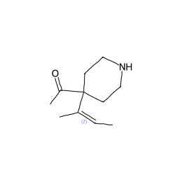 C/C=C(/C)C1(C(C)=O)CCNCC1